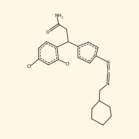 NC(=O)CC(c1ccc(N=C=NCC2CCCCC2)cc1)c1ccc(Cl)cc1Cl